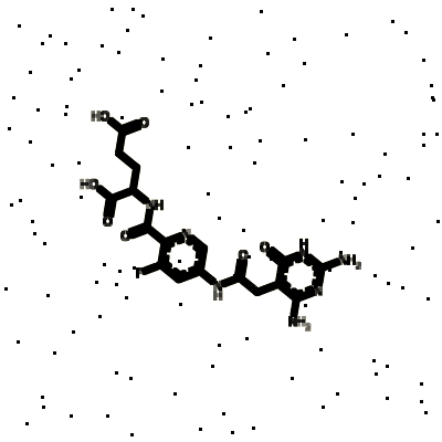 Nc1nc(N)c(CC(=O)Nc2cnc(C(=O)NC(CCC(=O)O)C(=O)O)c(F)c2)c(=O)[nH]1